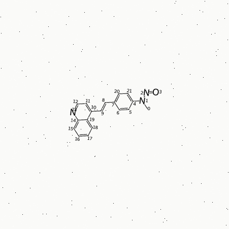 CN(N=O)c1ccc(C=Cc2ccnc3ccccc23)cc1